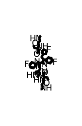 CCC(NC(=O)CNC)C(=O)N1CNCC1Cn1c(-c2[nH]c3cc(F)ccc3c2CC2CC(F)CN2C(=O)C(CC)NC(=O)CNC)nc2cc(F)ccc21